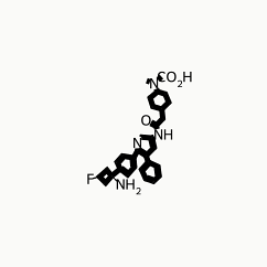 CN(C(=O)O)C1CCC(CC(=O)Nc2cnc(-c3ccc([C@]4(N)C[C@@H](F)C4)cc3)c(-c3ccccc3)c2)CC1